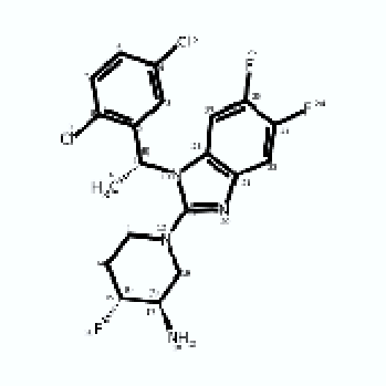 C[C@H](c1cc(Cl)ccc1Cl)n1c(N2CC[C@@H](F)[C@H](N)C2)nc2cc(F)c(F)cc21